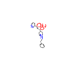 O=C(C=C(O)c1cccnc1)C1CCN(CCc2ccccc2)CC1